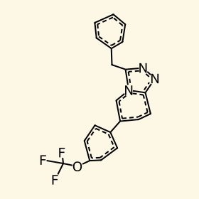 FC(F)(F)Oc1ccc(-c2ccc3nnc(Cc4ccccc4)n3c2)cc1